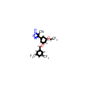 N#Cc1[nH]nnc1-c1cc(OCc2cc(C(F)(F)F)cc(C(F)(F)F)c2)cc(OCC(F)(F)F)c1